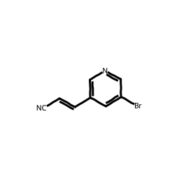 N#CC=Cc1cncc(Br)c1